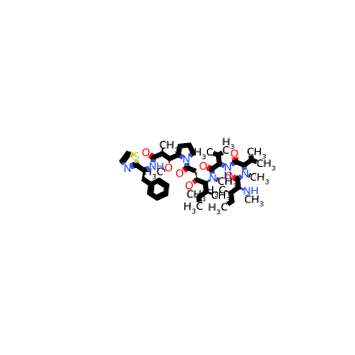 CC[C@H](C)[C@@H]([C@@H](CC(=O)N1CCCC1[C@H](OC)[C@@H](C)C(=O)N[C@@H](Cc1ccccc1)c1nccs1)OC)N(C)C(=O)C(NC(=O)C(C(C)C)N(C)C(=O)[C@@H](NC)[C@@H](C)CC)C(C)C